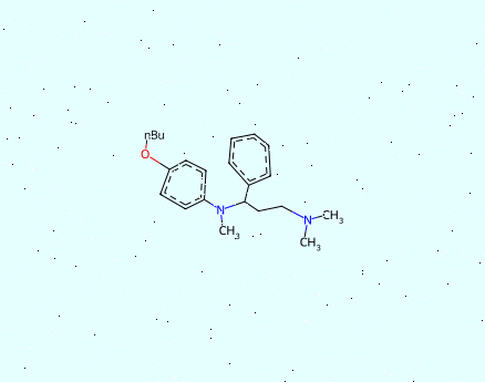 CCCCOc1ccc(N(C)C(CCN(C)C)c2ccccc2)cc1